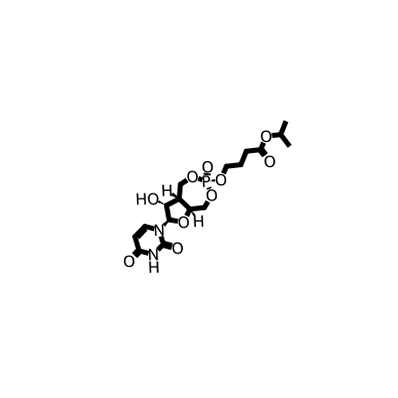 CC(C)OC(=O)CCCO[P@@]1(=O)OC[C@H]2[C@@H](O)[C@H](n3ccc(=O)[nH]c3=O)O[C@@H]2CO1